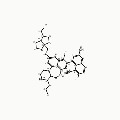 C#Cc1c(F)ccc2cc(O)cc(-c3nc4c5c(nc(OCC67CCCN6C(CF)CC7)nc5c3F)N3CCNC(CCC)C3CO4)c12